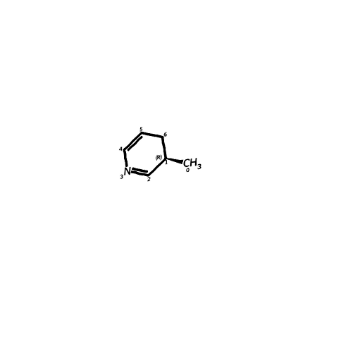 C[C@H]1C=NC=CC1